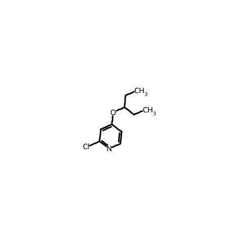 CCC(CC)Oc1ccnc(Cl)c1